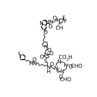 C#C[C@H]1CC(F)(F)CN1C(=O)CNC(=O)c1ccnc2ccc(OCCCC3CCN(C(=O)CN4C(=O)CC(SCC(CCCCNC(=O)CCCc5ccc(I)cc5)NC(=O)CN5CCN(COC=O)CCN(COC=O)CCN(CC(=O)O)CC5)C4=O)CC3)cc12